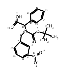 CC(C)(C)OC(=O)N(Cc1cccc([N+](=O)[O-])c1)C(C(=O)O)c1ccccc1